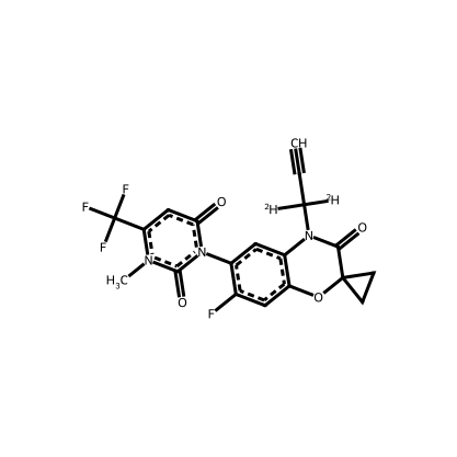 [2H]C([2H])(C#C)N1C(=O)C2(CC2)Oc2cc(F)c(-n3c(=O)cc(C(F)(F)F)n(C)c3=O)cc21